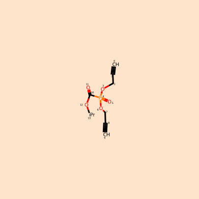 C#CCOP(=O)(OCC#C)C(=O)OC(C)C